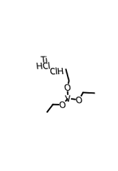 CC[O][V]([O]CC)[O]CC.Cl.Cl.[Ti]